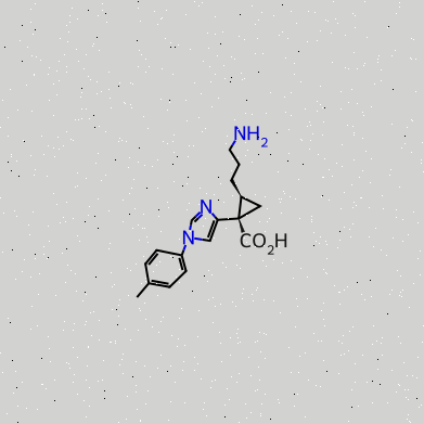 Cc1ccc(-n2cnc([C@@]3(C(=O)O)C[C@@H]3CCCN)c2)cc1